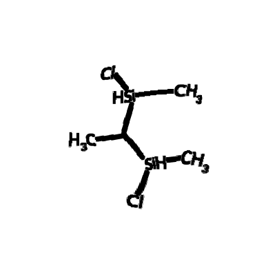 CC([SiH](C)Cl)[SiH](C)Cl